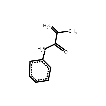 C=C(C)C(=O)[SiH2]c1ccccc1